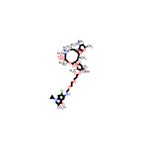 CC[C@H]1OC(=O)[C@H](C)[C@@H](O[C@H]2C[C@@](C)(OC)[C@@H](OC(=O)CCOCCOCCNc3cc4c(=O)c(C(=O)O)cn(C5CC5)c4cc3Cl)[C@H](C)O2)[C@H](C)[C@@H](O[C@@H]2O[C@H](C)C[C@H](N(C)C)[C@H]2OC(C)=O)[C@](C)(O)C[C@@H](C)CN(C)[C@H](C)[C@@H](O)[C@]1(C)O